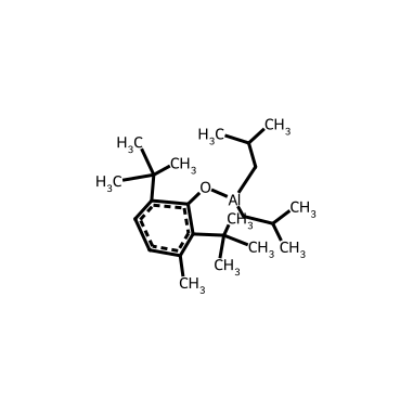 Cc1ccc(C(C)(C)C)c([O][Al]([CH2]C(C)C)[CH2]C(C)C)c1C(C)(C)C